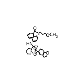 COCCCN1C(=O)c2cccc3c(NC(=O)C4CCCCN4S(=O)(=O)c4ccc5c(c4)CCO5)ccc1c23